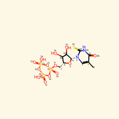 Cc1cn([C@@H]2O[C@H](COP3(=O)OP(=O)(O)OP(=O)(O)O3)C(O)C2O)c(=S)[nH]c1=O